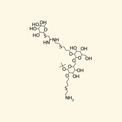 CC1O[C@@H](SCC(=N)NCCSCCCOC2C(OCC3OC(OC(C)(C)C)C(OCCCSCCN)C(O)[C@@H]3O)OC(CO)[C@@H](O)C2O)C(O)C(O)C1(O)O